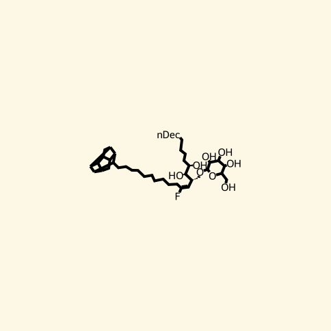 CCCCCCCCCCCCCC[C@@H](O)[C@@H](O)[C@@H](/C=C(/F)CCCCCCCCCCC1C2C3CC4C5C3CC2C5C14)COC1OC(CO)C(O)C(O)C1O